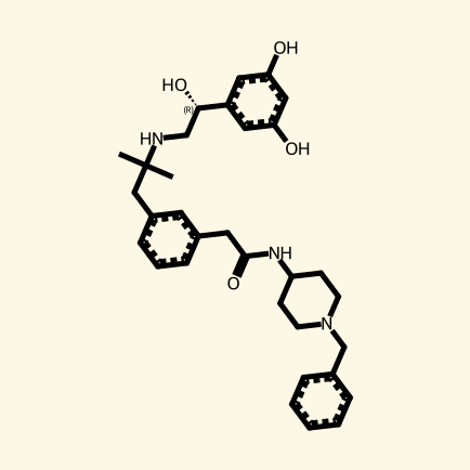 CC(C)(Cc1cccc(CC(=O)NC2CCN(Cc3ccccc3)CC2)c1)NC[C@H](O)c1cc(O)cc(O)c1